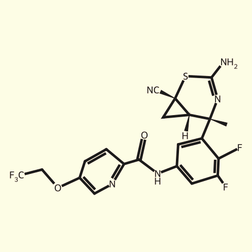 C[C@]1(c2cc(NC(=O)c3ccc(OCC(F)(F)F)cn3)cc(F)c2F)N=C(N)S[C@@]2(C#N)C[C@H]21